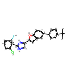 CC(C)(C)c1ccc(-c2ccc3oc(-c4c[nH]c(-c5c(F)cccc5Cl)n4)cc3c2)cc1